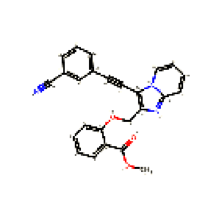 COC(=O)c1ccccc1OCc1nc2ccccn2c1C#Cc1cccc(C#N)c1